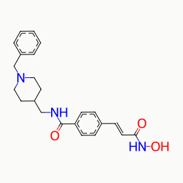 O=C(C=Cc1ccc(C(=O)NCC2CCN(Cc3ccccc3)CC2)cc1)NO